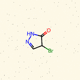 O=C1NN=CC1Br